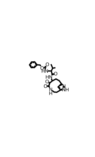 CC(C)C(NC(=O)OCc1ccccc1)C(=O)NC1CCc2cc([nH]n2)CCNC(=O)C1=O